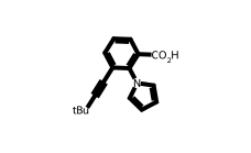 CC(C)(C)C#Cc1cccc(C(=O)O)c1-n1cccc1